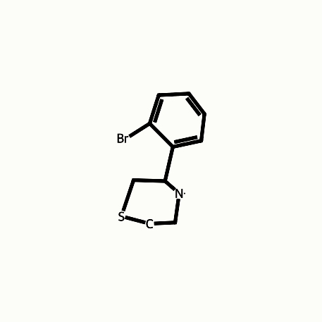 Brc1ccccc1C1CSCC[N]1